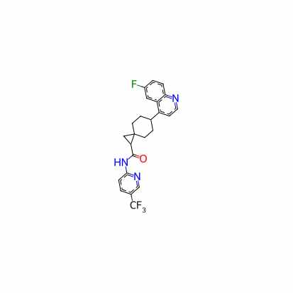 O=C(Nc1ccc(C(F)(F)F)cn1)C1CC12CCC(c1ccnc3ccc(F)cc13)CC2